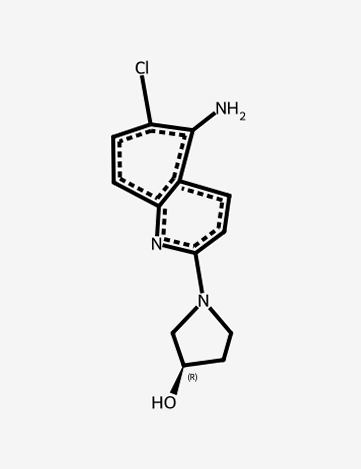 Nc1c(Cl)ccc2nc(N3CC[C@@H](O)C3)ccc12